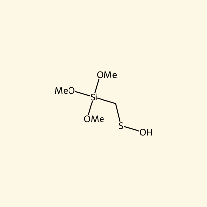 CO[Si](CSO)(OC)OC